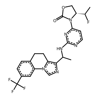 CC(Nc1nccc(N2C(=O)OC[C@@H]2C(C)F)n1)c1ncn2c1CCc1ccc(C(F)(F)F)cc1-2